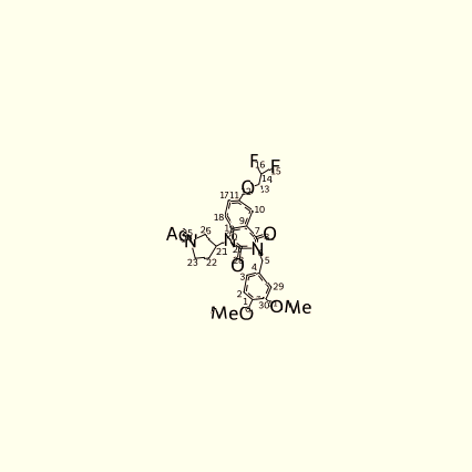 COc1ccc(Cn2c(=O)c3cc(OCC(F)F)ccc3n(C3CCN(C(C)=O)C3)c2=O)cc1OC